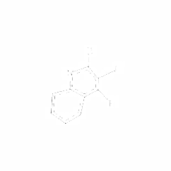 Fc1c(Cl)nc2ccccc2c1F